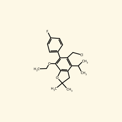 CCOc1c2c(c(C(C)C)c(CCl)c1-c1ccc(F)cc1)CC(C)(C)O2